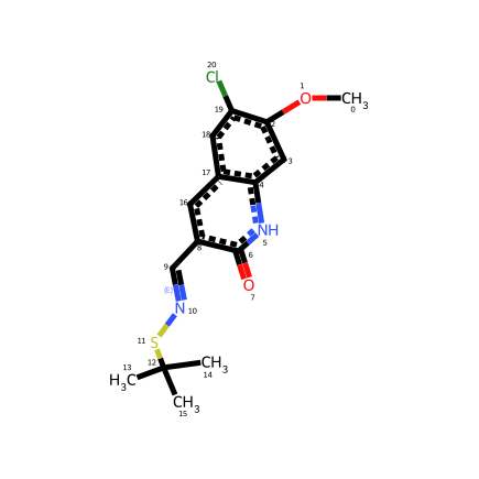 COc1cc2[nH]c(=O)c(/C=N/SC(C)(C)C)cc2cc1Cl